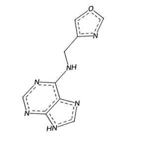 c1nc(NCc2cocn2)c2nc[nH]c2n1